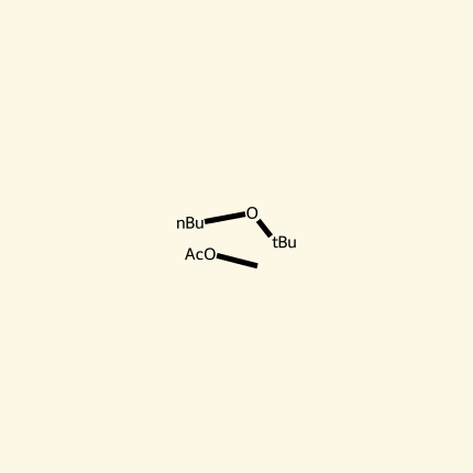 CCCCOC(C)(C)C.COC(C)=O